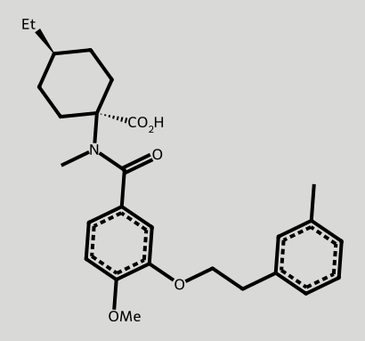 CC[C@H]1CC[C@@](C(=O)O)(N(C)C(=O)c2ccc(OC)c(OCCc3cccc(C)c3)c2)CC1